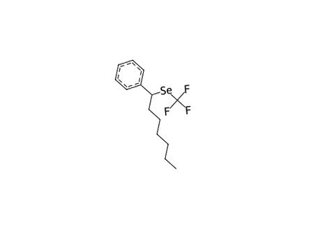 CCCCCCC([Se]C(F)(F)F)c1ccccc1